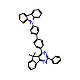 CC1(C)c2ccccc2-c2nc(-c3ccccc3)nc(-c3ccc(-c4ccc(-n5c6ccccc6c6ccccc65)cc4)cc3)c21